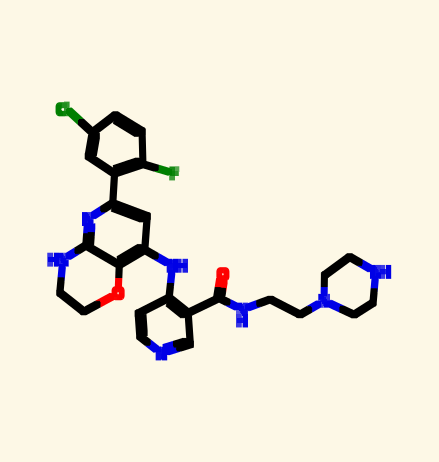 O=C(NCCN1CCNCC1)c1cnccc1Nc1cc(-c2cc(Cl)ccc2F)nc2c1OCCN2